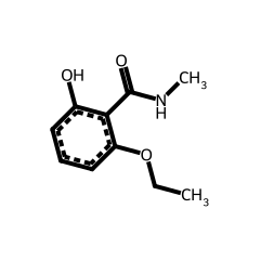 CCOc1cccc(O)c1C(=O)NC